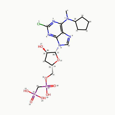 CN(c1nc(Cl)nc2c1ncn2[C@@H]1O[C@H](COP(=O)(O)CP(=O)(O)O)C[C@H]1O)C1CCCC1